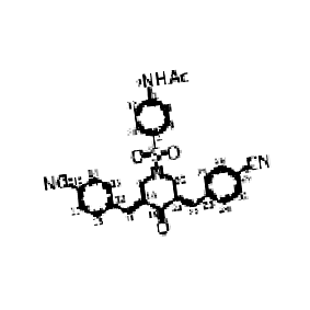 CC(=O)Nc1ccc(S(=O)(=O)N2CC(=Cc3ccc(C#N)cc3)C(=O)C(=Cc3ccc(C#N)cc3)C2)cc1